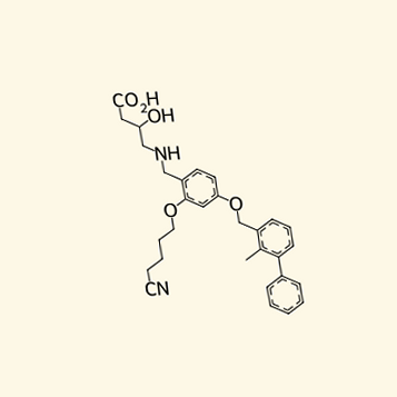 Cc1c(COc2ccc(CNCC(O)CC(=O)O)c(OCCCCC#N)c2)cccc1-c1ccccc1